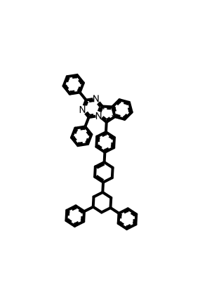 C1=C(c2ccc(-c3c4ccccc4c4nc(-c5ccccc5)nc(-c5ccccc5)n34)cc2)CCC(C2CC(c3ccccc3)CC(c3ccccc3)C2)=C1